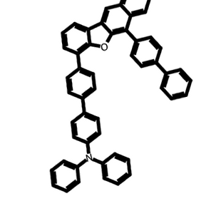 c1ccc(-c2ccc(-c3c4ccccc4cc4c3oc3c(-c5ccc(-c6ccc(N(c7ccccc7)c7ccccc7)cc6)cc5)cccc34)cc2)cc1